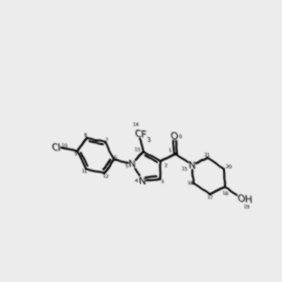 O=C(c1cnn(-c2ccc(Cl)cc2)c1C(F)(F)F)N1CCC(O)CC1